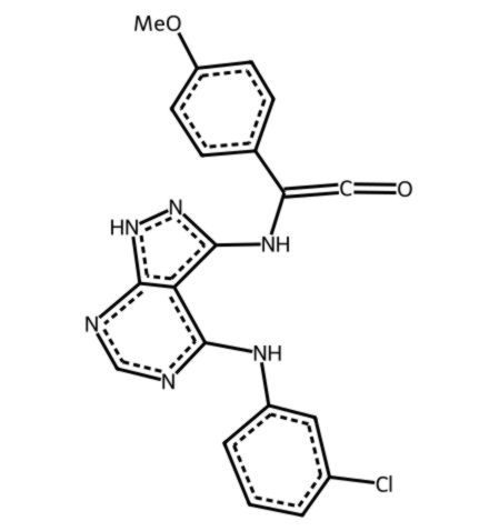 COc1ccc(C(=C=O)Nc2n[nH]c3ncnc(Nc4cccc(Cl)c4)c23)cc1